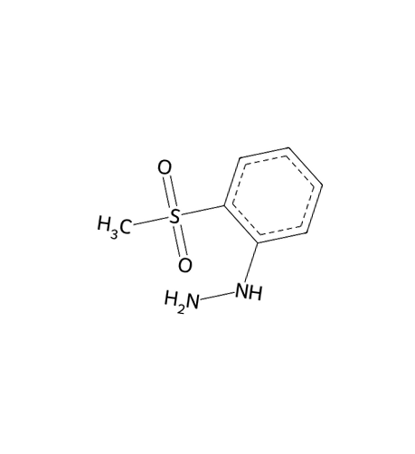 CS(=O)(=O)c1ccccc1NN